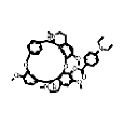 CCN(CC)c1ccc(C(=O)Oc2c(OC)cc3c4c2Oc2cc5c(cc2OC)CCN(C)[C@H]5Cc2ccc(cc2)Oc2cc(ccc2OC)C[C@@H]4N(C)CC3)cc1